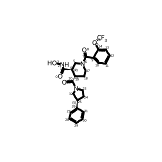 O=C(NO)[C@H]1CN(C(=O)c2ccccc2OC(F)(F)F)CC[C@@H]1C(=O)N1CC[C@@H](c2ccccc2)C1